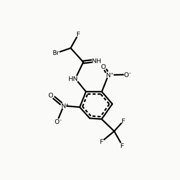 N=C(Nc1c([N+](=O)[O-])cc(C(F)(F)F)cc1[N+](=O)[O-])C(F)Br